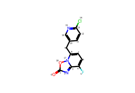 O=c1nc2c(F)ccc(Cc3ccc(Cl)nc3)n2o1